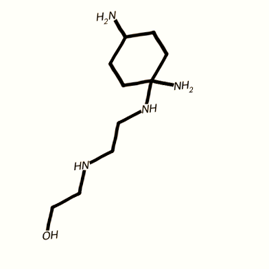 NC1CCC(N)(NCCNCCO)CC1